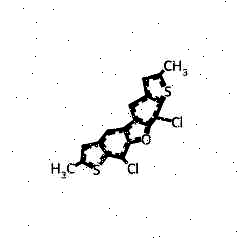 Cc1cc2cc3c(oc4c(Cl)c5sc(C)cc5cc43)c(Cl)c2s1